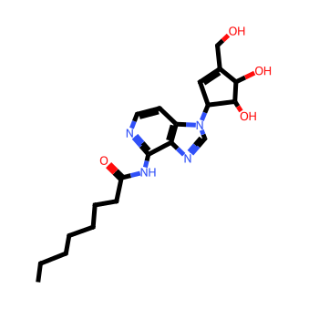 CCCCCCCC(=O)Nc1nccc2c1ncn2C1C=C(CO)C(O)C1O